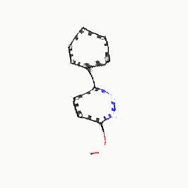 CCCCCOc1ccc(-c2ccccc2)nn1